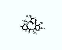 CCCCn1c2cc(cnc2N)/c(=C(\C#N)NC)c(=N)n(C)c(=O)c2ccc(F)cc21